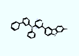 C/C=C\C(=C/C(C)c1ccc2sc3cc(C)ccc3c2c1)N(c1ccccc1)c1cccc(C2C=CC=CC2)c1